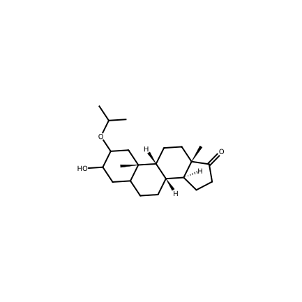 CC(C)OC1C[C@@]2(C)C(CC[C@@H]3[C@H]2CC[C@]2(C)C(=O)CC[C@@H]32)CC1O